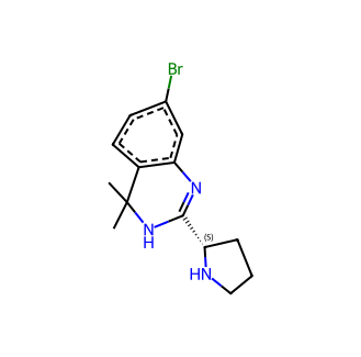 CC1(C)NC([C@@H]2CCCN2)=Nc2cc(Br)ccc21